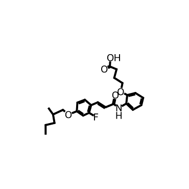 CCCC(C)COc1ccc(C=CC(=O)Nc2ccccc2OCCCC(=O)O)c(F)c1